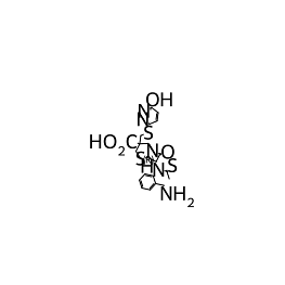 CC(=S)N(c1ccccc1CN)C1C(=O)N2CC(CSc3ccc(O)nn3)(C(=O)O)CS[C@H]12